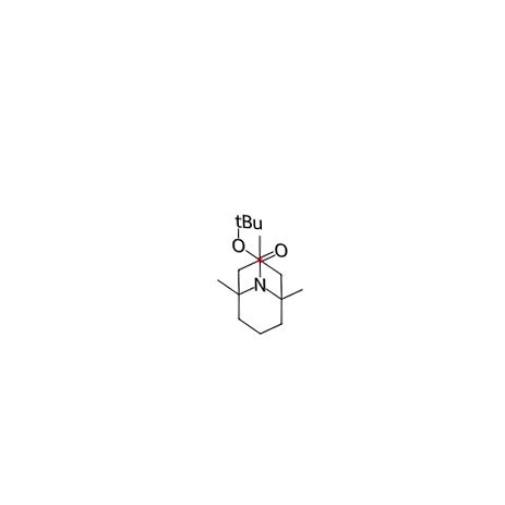 CC1CC2(C)CCCC(C)(C1)N2C(=O)OC(C)(C)C